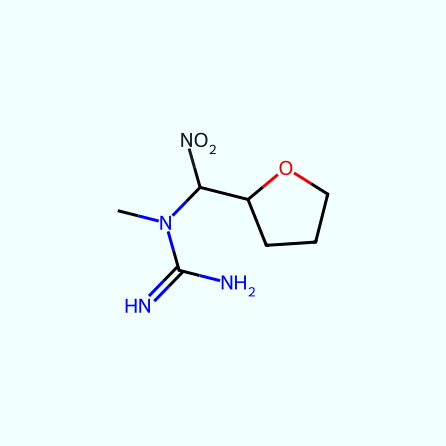 CN(C(=N)N)C(C1CCCO1)[N+](=O)[O-]